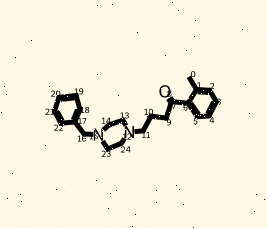 Cc1ccccc1C(=O)CCCN1CCN(Cc2ccccc2)CC1